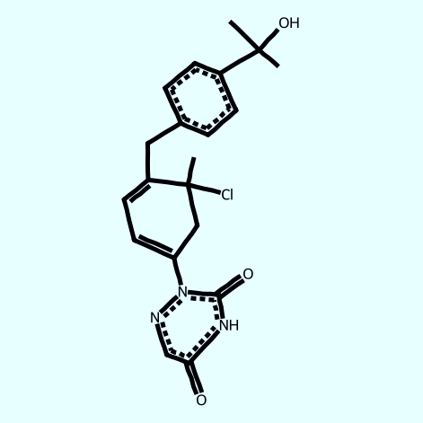 CC1(Cl)CC(n2ncc(=O)[nH]c2=O)=CC=C1Cc1ccc(C(C)(C)O)cc1